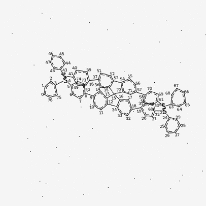 c1ccc(Sc2ccc(-c3ccc4c(c3)C3(c5cc(-c6ccc(Sc7ccccc7)cc6)ccc5-4)c4cc(-c5ccc(Sc6ccccc6)cc5)ccc4-c4ccc(-c5ccc(Sc6ccccc6)cc5)cc43)cc2)cc1